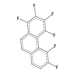 Fc1ccc2ccc3c(F)c(F)c(F)c(F)c3c2c1F